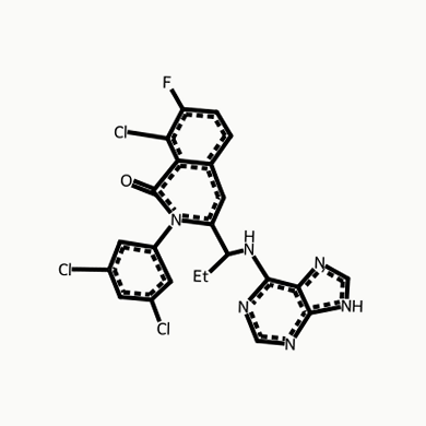 CCC(Nc1ncnc2[nH]cnc12)c1cc2ccc(F)c(Cl)c2c(=O)n1-c1cc(Cl)cc(Cl)c1